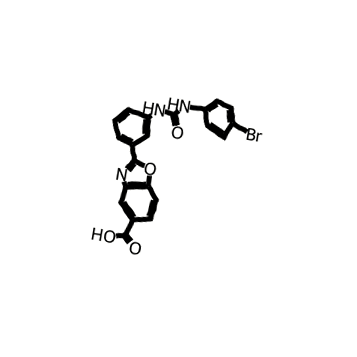 O=C(Nc1ccc(Br)cc1)Nc1cccc(-c2nc3cc(C(=O)O)ccc3o2)c1